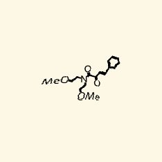 COCCN(CCOC)C(=O)C(=O)/C=C/c1ccccc1